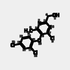 Cc1nc(CO)nc(Cl)c1Oc1ccc(Cl)cc1Cl